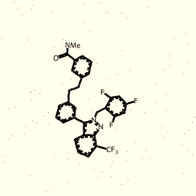 CNC(=O)c1cccc(CCc2cccc(-c3c4cccc(C(F)(F)F)c4nn3Cc3c(F)cc(F)cc3F)c2)c1